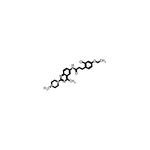 CCOc1ccc(CCC(=O)Nc2ccc3nc(N4CCN(C)CC4)nc(C)c3c2)c(Cl)c1